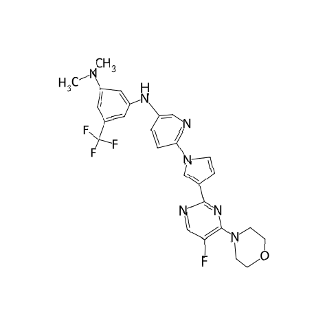 CN(C)c1cc(Nc2ccc(-n3ccc(-c4ncc(F)c(N5CCOCC5)n4)c3)nc2)cc(C(F)(F)F)c1